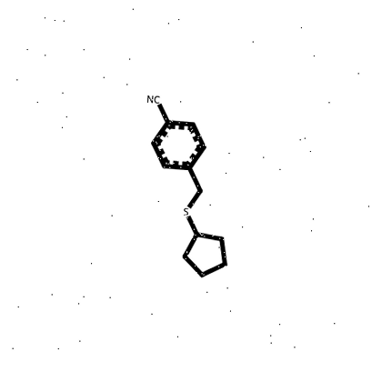 N#Cc1ccc(CSC2CCCC2)cc1